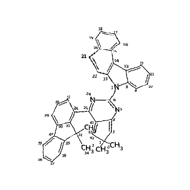 CC1(C)C=c2nc(-n3c4ccccc4c4c5ccccc5ccc43)nc(-c3cccc4c3C(C)(C)c3ccccc3-4)c2=C1